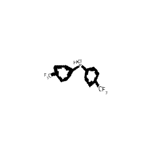 Cl.FC(F)(F)c1ccc([P]c2ccc(C(F)(F)F)cc2)cc1